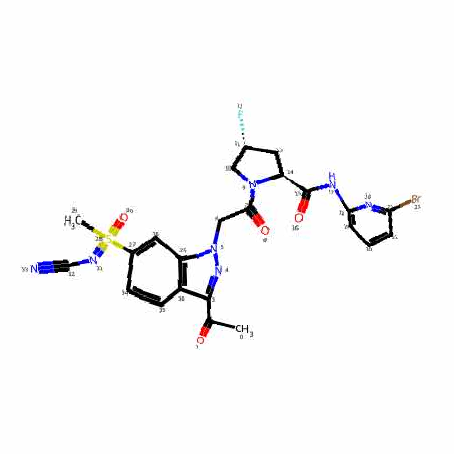 CC(=O)c1nn(CC(=O)N2C[C@H](F)C[C@H]2C(=O)Nc2cccc(Br)n2)c2cc(S(C)(=O)=NC#N)ccc12